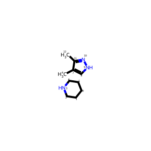 C1CCNCC1.Cc1c[nH]nc1C